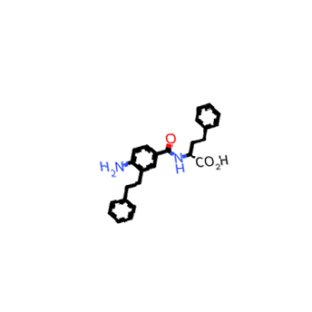 Nc1ccc(C(=O)N[C@@H](CCc2ccccc2)C(=O)O)cc1CCc1ccccc1